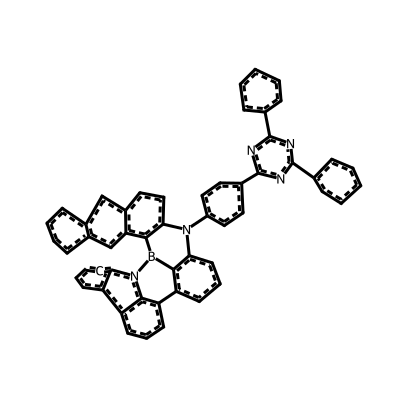 c1ccc(-c2nc(-c3ccccc3)nc(-c3ccc(N4c5cccc6c5B(c5c4ccc4cc7ccccc7cc54)n4c5ccccc5c5cccc-6c54)cc3)n2)cc1